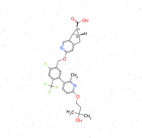 Cc1nc(OCCC(C)(C)O)ccc1-c1cc(COc2cc3c(cn2)C2[C@@H](C3)[C@@H]2C(=O)O)c(F)cc1C(F)(F)F